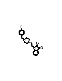 O=C1C(=O)N(CCN2CCN(Cc3ccc(F)cc3)CC2)c2ccccc21